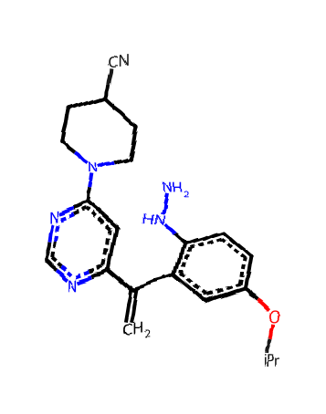 C=C(c1cc(N2CCC(C#N)CC2)ncn1)c1cc(OC(C)C)ccc1NN